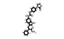 NC(=O)C(=Cc1c[nH]c2nc(NC(=O)Cc3ccc(N4CCOC4=O)cc3)ccc12)c1ccccc1